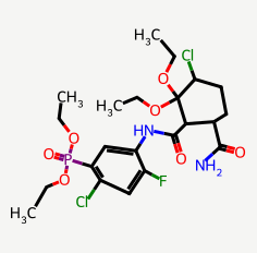 CCOC1(OCC)C(Cl)CCC(C(N)=O)C1C(=O)Nc1cc(P(=O)(OCC)OCC)c(Cl)cc1F